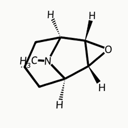 CN1[C@@H]2C[CH]C[C@H]1[C@@H]1O[C@@H]12